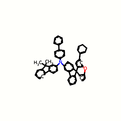 CC1(C)c2ccccc2-c2ccc(N(c3ccc(-c4ccccc4)cc3)c3ccc4c(c3)-c3ccccc3C43c4ccccc4Oc4cc(C5=CCCC=C5)ccc43)cc21